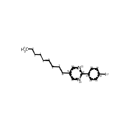 CCCCCCCCCc1cnc(-c2ccc(I)cc2)nc1